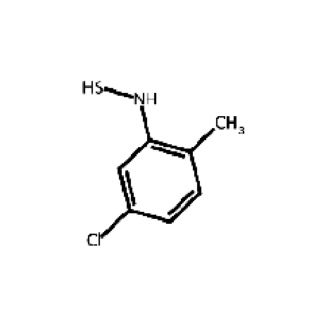 Cc1ccc(Cl)cc1NS